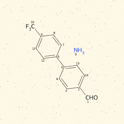 N.O=Cc1ccc(-c2ccc(C(F)(F)F)cc2)cc1